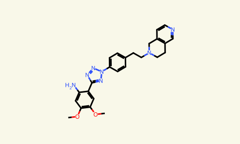 COc1cc(N)c(-c2nnn(-c3ccc(CCN4CCc5cnccc5C4)cc3)n2)cc1OC